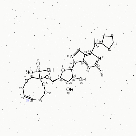 O=P(O)(O)C1(OC[C@H]2O[C@@H](n3ncc4c(NC5CCCC5)nc(Cl)nc43)[C@H](O)[C@@H]2O)COC/C=C\COC1